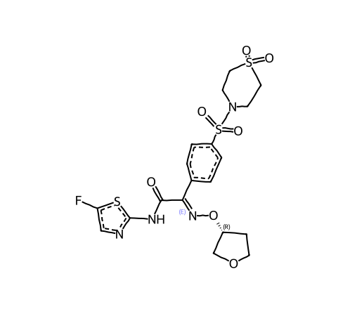 O=C(Nc1ncc(F)s1)/C(=N/O[C@@H]1CCOC1)c1ccc(S(=O)(=O)N2CCS(=O)(=O)CC2)cc1